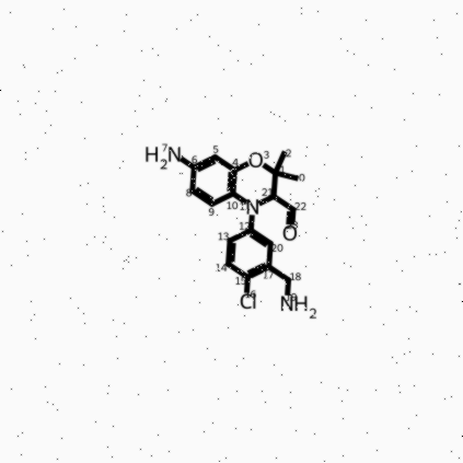 CC1(C)Oc2cc(N)ccc2N(c2ccc(Cl)c(CN)c2)C1C=O